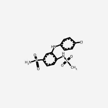 CS(=O)(=O)Nc1ccc(S(N)(=O)=O)cc1Nc1ccc(Cl)cc1